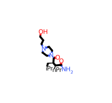 CCC[C@H](C(N)=O)[C@@H](CC(C)C)C(=O)N1CCN(CCCO)CC1